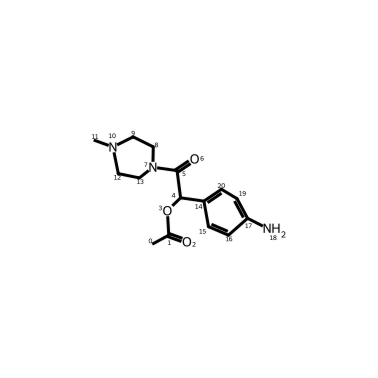 CC(=O)OC(C(=O)N1CCN(C)CC1)c1ccc(N)cc1